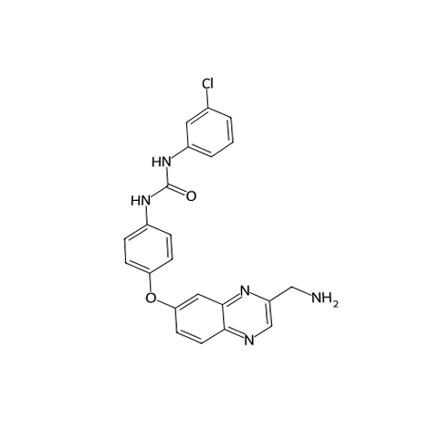 NCc1cnc2ccc(Oc3ccc(NC(=O)Nc4cccc(Cl)c4)cc3)cc2n1